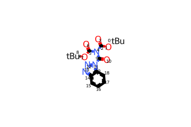 CC(C)(C)OC(=O)N(C(=O)OC(C)(C)C)C(=O)n1nnc2ccccc21